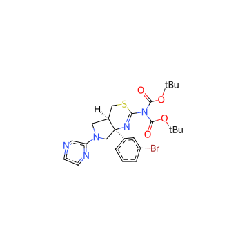 CC(C)(C)OC(=O)N(C(=O)OC(C)(C)C)C1=N[C@@]2(c3cccc(Br)c3)CN(c3cnccn3)C[C@H]2CS1